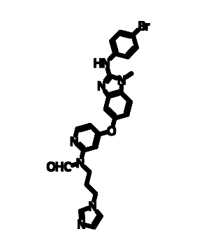 Cn1c(Nc2ccc(Br)cc2)nc2cc(Oc3ccnc(N(C=O)CCCn4ccnc4)c3)ccc21